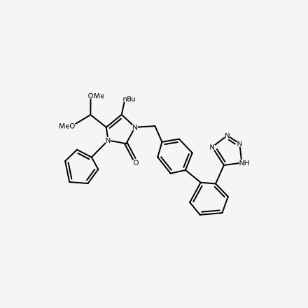 CCCCc1c(C(OC)OC)n(-c2ccccc2)c(=O)n1Cc1ccc(-c2ccccc2-c2nnn[nH]2)cc1